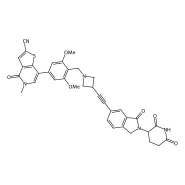 COc1cc(-c2cn(C)c(=O)c3cc(C#N)sc23)cc(OC)c1CN1CC(C#Cc2ccc3c(c2)C(=O)N(C2CCC(=O)NC2=O)C3)C1